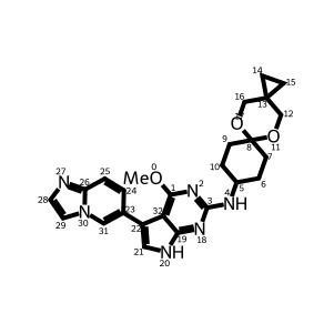 COc1nc(NC2CCC3(CC2)OCC2(CC2)CO3)nc2[nH]cc(-c3ccc4nccn4c3)c12